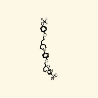 O=[N+]([O-])c1cn2c(n1)OC(COc1ccc(N3CCC(CCCOc4ccc(OC(F)(F)F)cc4)CC3)cc1)CC2